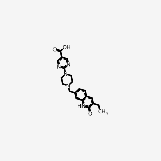 CCc1cc2ccc(CN3CCN(c4ncc(C(=O)O)cn4)CC3)cc2[nH]c1=O